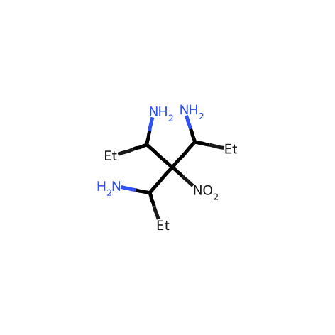 CCC(N)C(C(N)CC)(C(N)CC)[N+](=O)[O-]